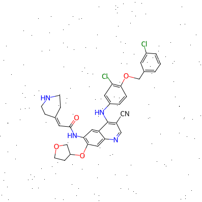 N#Cc1cnc2cc(OC3CCOC3)c(NC(=O)C=C3CCNCC3)cc2c1Nc1ccc(OCc2cccc(Cl)c2)c(Cl)c1